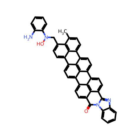 Cc1ccc2c3ccc4c5ccc6c7c(ccc(c8ccc(c9ccc(CN(O)c%10ccccc%10N)c1c92)c3c84)c57)c(=O)n1c2ccccc2nc61